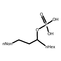 CCCCCCCCCCCC(CCCCCC)OP(=O)(O)O